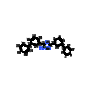 c1ccc(-c2cccc(-c3n[nH]c(-c4cccc(-c5ccccc5)c4)n3)c2)cc1